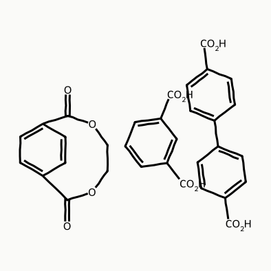 O=C(O)c1ccc(-c2ccc(C(=O)O)cc2)cc1.O=C(O)c1cccc(C(=O)O)c1.O=C1OCCOC(=O)c2ccc1cc2